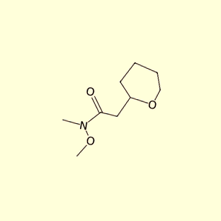 CON(C)C(=O)CC1CCCCO1